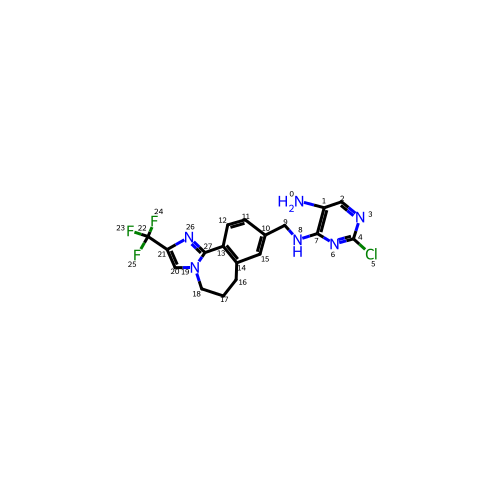 Nc1cnc(Cl)nc1NCc1ccc2c(c1)CCCn1cc(C(F)(F)F)nc1-2